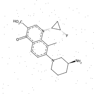 Cc1c(N2CCC[C@H](N)C2)ccc2c(=O)c(C(=O)O)cn([C@@H]3C[C@@H]3F)c12